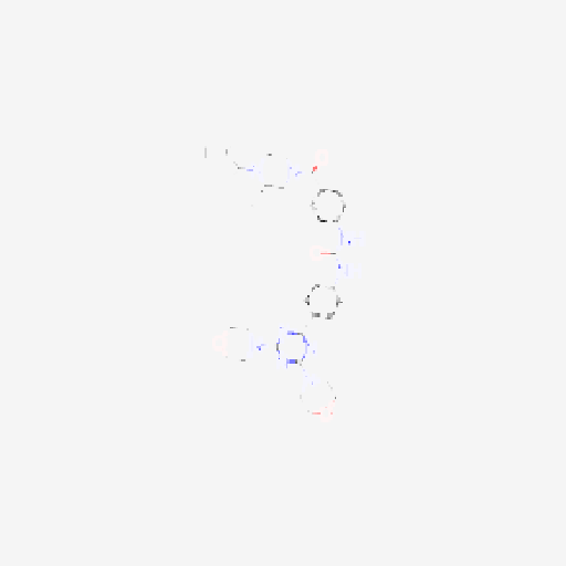 CC(C)N1CCN(C(=O)c2ccc(NC(=O)Nc3ccc(-c4nc(N5CCOCC5)nc(N5CCOCC5)n4)cc3)cc2)C[C@H]1C